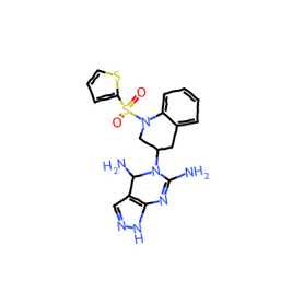 NC1=Nc2[nH]ncc2C(N)N1C1Cc2ccccc2N(S(=O)(=O)c2cccs2)C1